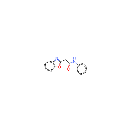 O=C(Cc1nc2ccccc2o1)Nc1ccccc1